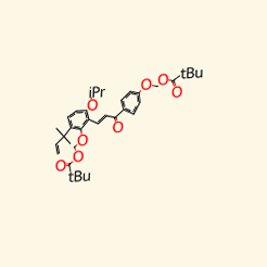 C=CC(C)(C)c1ccc(OC(C)C)c(/C=C/C(=O)c2ccc(OCOC(=O)C(C)(C)C)cc2)c1OCOC(=O)C(C)(C)C